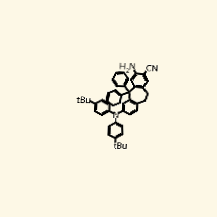 CC(C)(C)c1ccc(N(c2ccc(C(C)(C)C)cc2)c2ccc3c(c2)C(C2=CC=CCC2)(c2ccccc2)c2cc(N)c(C#N)cc2CC3)cc1